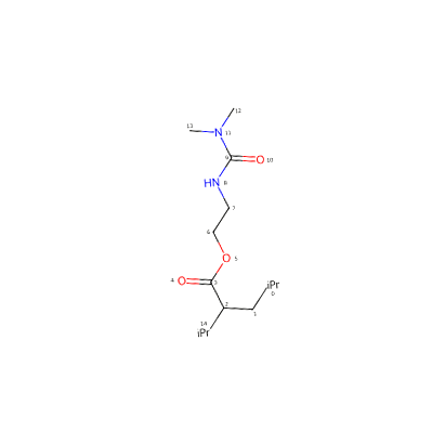 CC(C)CC(C(=O)OCCNC(=O)N(C)C)C(C)C